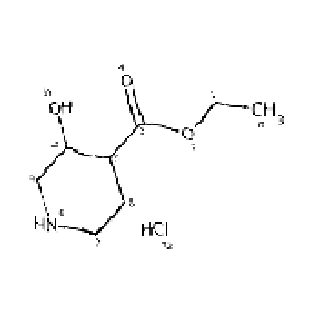 CCOC(=O)C1CCNCC1O.Cl